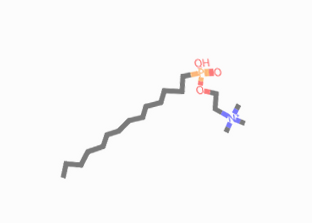 CCCCCCCCCCCCCCP(=O)(O)OCC[N+](C)(C)C